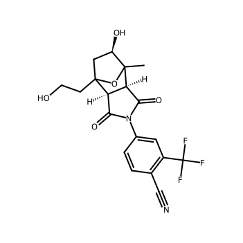 CC12OC(CCO)(C[C@H]1O)[C@@H]1C(=O)N(c3ccc(C#N)c(C(F)(F)F)c3)C(=O)[C@@H]12